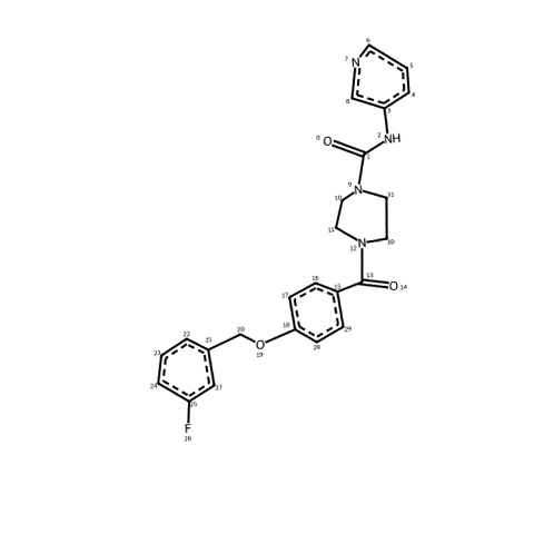 O=C(Nc1cccnc1)N1CCN(C(=O)c2ccc(OCc3cccc(F)c3)cc2)CC1